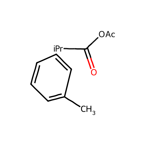 CC(=O)OC(=O)C(C)C.Cc1ccccc1